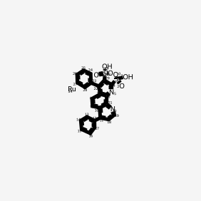 O=S(=O)(O)c1nc2c(ccc3c(-c4ccccc4)ccnc32)c(-c2ccccc2)c1S(=O)(=O)O.[Ru]